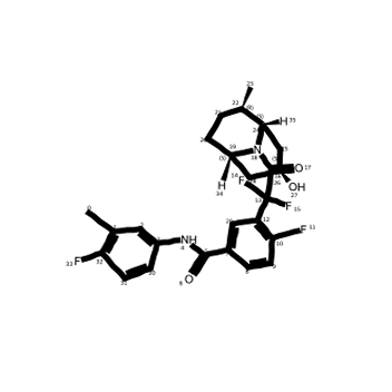 Cc1cc(NC(=O)c2ccc(F)c(C(F)(F)C(=O)N3[C@H]4CC[C@@H](C)[C@@H]3C[C@@H](O)C4)c2)ccc1F